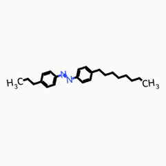 CCCCCCCCc1ccc(N=Nc2ccc(CCC)cc2)cc1